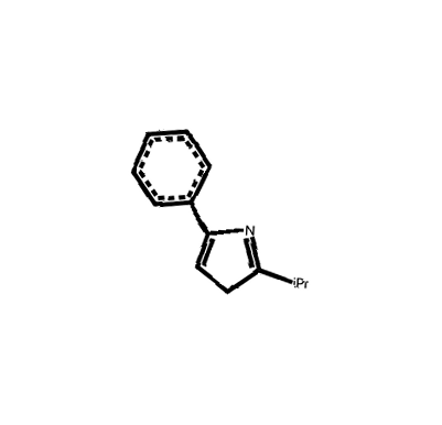 CC(C)C1=NC(c2ccccc2)=CC1